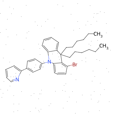 CCCCCCC1(CCCCCC)c2ccccc2N(c2ccc(-c3ccccn3)cc2)c2cccc(Br)c21